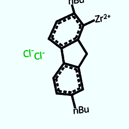 CCCCc1ccc2c(c1)Cc1c-2ccc(CCCC)[c]1[Zr+2].[Cl-].[Cl-]